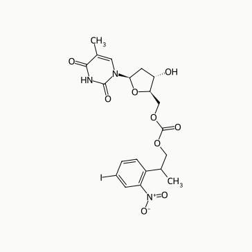 Cc1cn([C@H]2C[C@H](O)[C@@H](COC(=O)OCC(C)c3ccc(I)cc3[N+](=O)[O-])O2)c(=O)[nH]c1=O